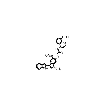 COc1cc2c(-c3cc4cccnc4[nH]3)cn(C)c2cc1OCC(=O)NC1C=COc2c(C(=O)O)cccc21